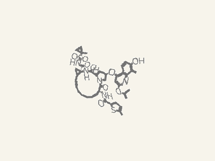 CC1=CCC(C(=O)N[C@H]2CCCCC/C=C\C3C[C@@]3(C(=O)NS(=O)(=O)C3(C)CC3)NC(=O)[C@@H]3C[C@@H](Oc4cc(OC(C)C)nc5c(C)c(O)ccc45)CN3C2=O)S1